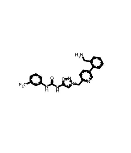 NCc1ccccc1-c1ccc(C[n+]2cc(NC(=O)Nc3cccc(C(F)(F)F)c3)on2)nc1